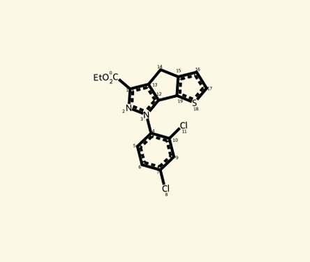 CCOC(=O)c1nn(-c2ccc(Cl)cc2Cl)c2c1Cc1ccsc1-2